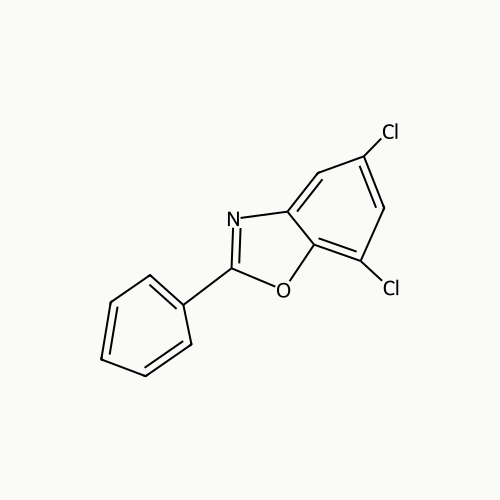 Clc1cc(Cl)c2oc(-c3ccccc3)nc2c1